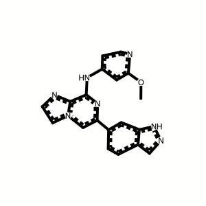 COc1cc(Nc2nc(-c3ccc4cn[nH]c4c3)cn3ccnc23)ccn1